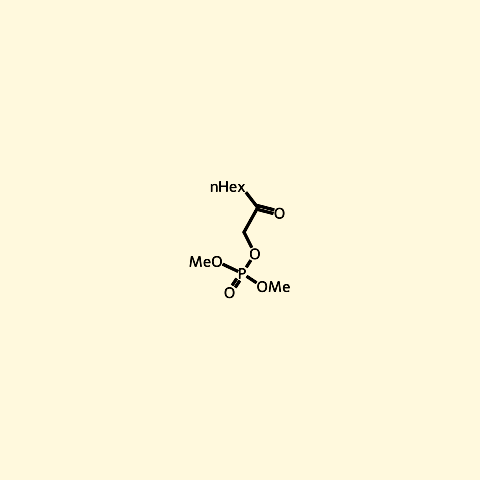 CCCCCCC(=O)COP(=O)(OC)OC